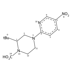 CC(C)(C)C1CN(c2ccc([N+](=O)[O-])cn2)CCN1C(=O)O